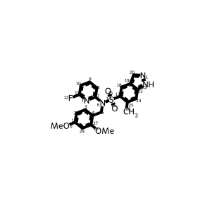 COc1ccc(CN(c2cccc(F)n2)S(=O)(=O)c2cc3cn[nH]c3cc2C)c(OC)c1